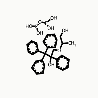 CC(CO)OCC(O)(c1ccccc1)C(c1ccccc1)(c1ccccc1)c1ccccc1.OP(O)OP(O)O